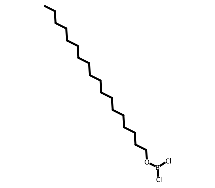 CCCCCCCCCCCCCCCCCCOB(Cl)Cl